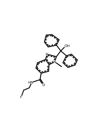 Cn1c(C(O)(c2ccccc2)c2ccccc2)nc2ccc(C(=O)NCCF)cc21